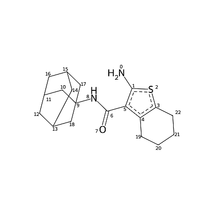 Nc1sc2c(c1C(=O)NC13CC4CC(CC(C4)C1)C3)CCCC2